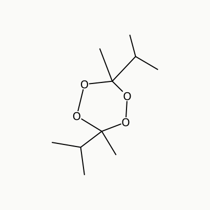 CC(C)C1(C)OOC(C)(C(C)C)OO1